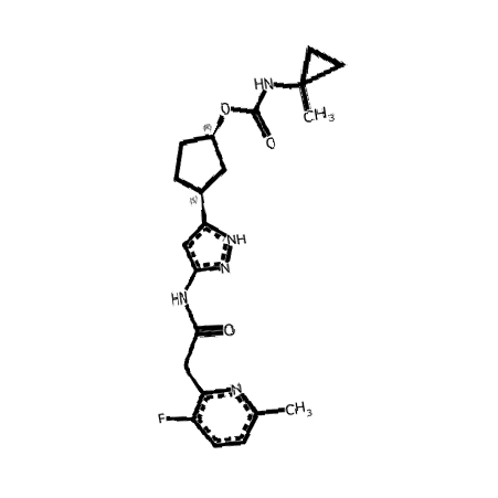 Cc1ccc(F)c(CC(=O)Nc2cc([C@H]3CC[C@@H](OC(=O)NC4(C)CC4)C3)[nH]n2)n1